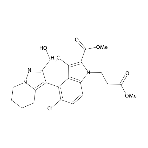 COC(=O)CCn1c(C(=O)OC)c(C)c2c(-c3c(CO)nn4c3CCCC4)c(Cl)ccc21